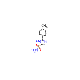 Cc1ccc(-c2ncc(S(N)(=O)=O)[nH]2)cc1